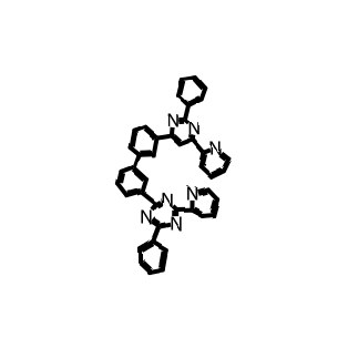 c1ccc(-c2nc(-c3cccc(-c4cccc(-c5nc(-c6ccccc6)nc(-c6ccccn6)n5)c4)c3)cc(-c3ccccn3)n2)cc1